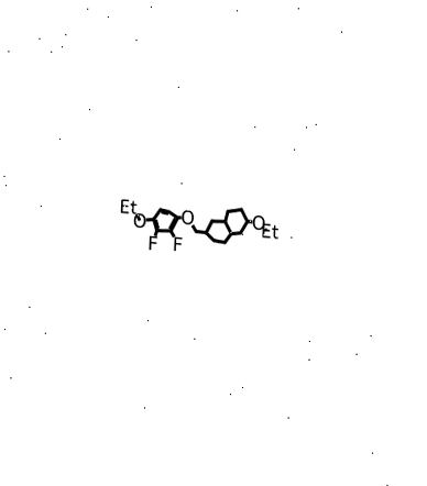 CCOc1ccc(OCC2CCC3CC(OCC)CCC3C2)c(F)c1F